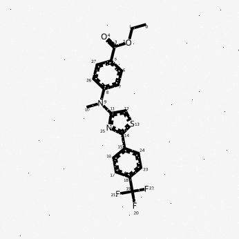 CCOC(=O)c1ccc(N(C)c2csc(-c3ccc(C(F)(F)F)cc3)n2)cc1